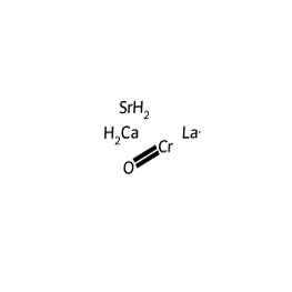 [CaH2].[La].[O]=[Cr].[SrH2]